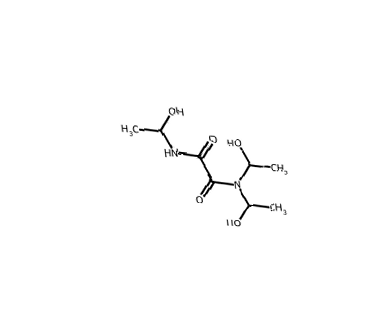 CC(O)NC(=O)C(=O)N(C(C)O)C(C)O